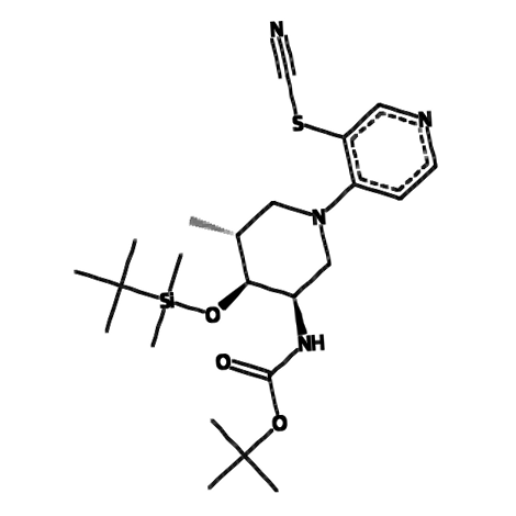 C[C@@H]1CN(c2ccncc2SC#N)C[C@@H](NC(=O)OC(C)(C)C)[C@H]1O[Si](C)(C)C(C)(C)C